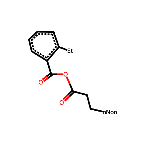 CCCCCCCCCCCC(=O)OC(=O)c1ccccc1CC